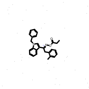 CCC(=O)O/N=C(\Cc1ccccc1C)c1cn(Cc2ccccc2)c2ccccc12